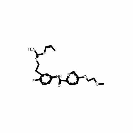 C/C=C\S/C(N)=N\CCc1cc(NC(=O)c2ccc(OCCOC)cn2)ccc1F